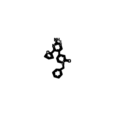 Nc1ncc(-c2ccn(Cc3ccccc3)c(=O)c2)c(-c2ccco2)n1